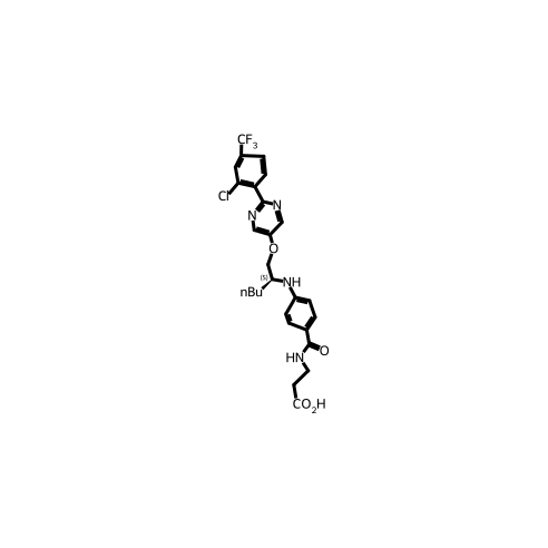 CCCC[C@@H](COc1cnc(-c2ccc(C(F)(F)F)cc2Cl)nc1)Nc1ccc(C(=O)NCCC(=O)O)cc1